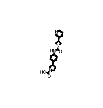 O=C(O)N1CCC(c2ccc(NC(=O)N3CC(c4cccnc4)C3)cc2)C1